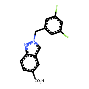 O=C(O)c1ccc2nn(Cc3cc(F)cc(F)c3)cc2c1